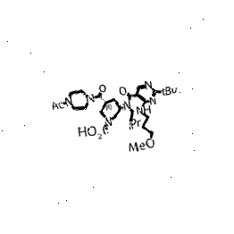 COCCCNc1nc(C(C)(C)C)ncc1C(=O)N(CC(C)C)[C@H]1C[C@@H](C(=O)N2CCN(C(C)=O)CC2)CN(C(=O)O)C1